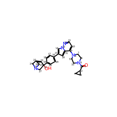 O=C(C1CC1)N1CCN(c2ccnn3cc(-c4ccc(C5(O)C=C6CN(C6)C5)cc4)cc23)CC1